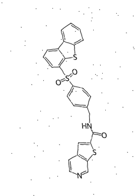 O=C(NCc1ccc(S(=O)(=O)c2cccc3c2sc2ccccc23)cc1)c1cc2ccncc2s1